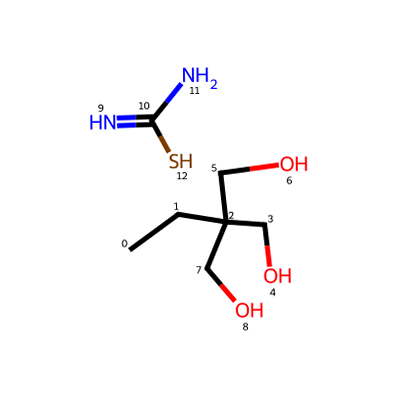 CCC(CO)(CO)CO.N=C(N)S